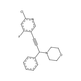 Fc1cc(Cl)ncc1C#CC(c1ccccc1)N1CCOCC1